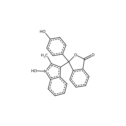 Cc1c(C2(c3ccc(O)cc3)OC(=O)c3ccccc32)c2ccccc2n1O